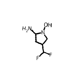 NC1CC(C(F)F)CN1O